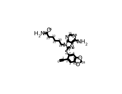 C#Cc1cc2c(cc1Sc1nc3c(N)ncnc3n1CCCCCC(N)=O)OCO2